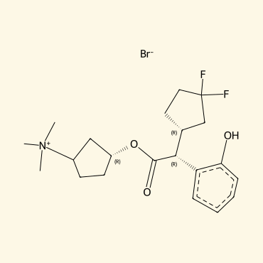 C[N+](C)(C)C1CC[C@@H](OC(=O)[C@@H](c2ccccc2O)[C@@H]2CCC(F)(F)C2)C1.[Br-]